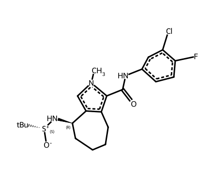 Cn1cc2c(c1C(=O)Nc1ccc(F)c(Cl)c1)CCCC[C@H]2N[S@+]([O-])C(C)(C)C